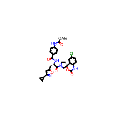 COC(=O)Nc1ccc(C(=O)N[C@@H](Cc2cc(C3CC3)no2)C(=O)N2CC[C@@]3(C2)OC(=O)Nc2ccc(Cl)cc23)cc1